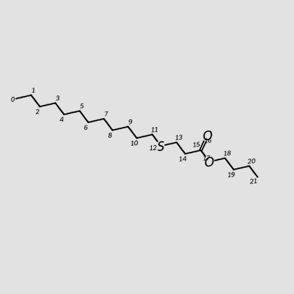 CCCCCCCCCCCCSCCC(=O)OCCCC